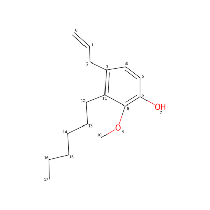 C=CCc1ccc(O)c(OC)c1CCCCCC